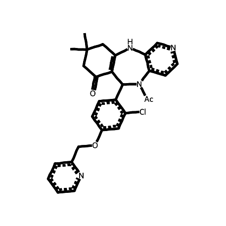 CC(=O)N1c2ccncc2NC2=C(C(=O)CC(C)(C)C2)C1c1ccc(OCc2ccccn2)cc1Cl